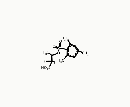 Cc1cc(C)c(S(=O)(=O)OC(C(F)(F)F)C(F)(F)S(=O)(=O)O)c(C)c1